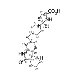 CCC1(N2CCN(Cc3ccc4c5c(c(=O)[nH]c4c3)CCCN5)CC2)NC(C(=O)O)=CS1